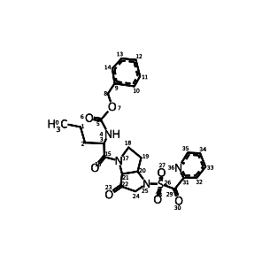 CCCC(NC(=O)OCc1ccccc1)C(=O)N1CCC2C1C(=O)CN2S(=O)(=O)C(=O)c1ccccn1